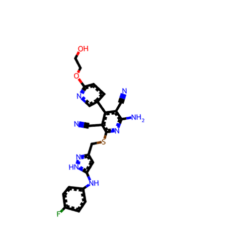 N#Cc1c(N)nc(SCc2cc(Nc3ccc(F)cc3)[nH]n2)c(C#N)c1-c1ccc(OCCO)nc1